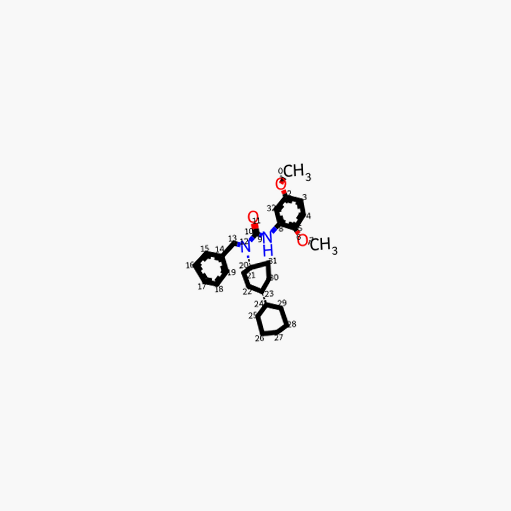 COc1ccc(OC)c(NC(=O)N(Cc2ccccc2)[C@H]2CC[C@@H](C3CCCCC3)CC2)c1